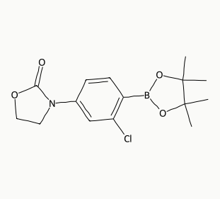 CC1(C)OB(c2ccc(N3CCOC3=O)cc2Cl)OC1(C)C